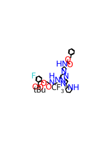 CN(CC(NC(=O)COc1ccc(F)cc1C(=O)OC(C)(C)C)C(F)(F)F)c1cc(N2CC(NC(=O)OCc3ccccc3)C2)nc2cc([C@@H]3CCCCN3)nn12